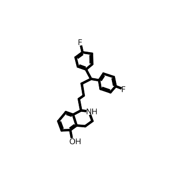 Oc1cccc2c1CCNC2CCCC(c1ccc(F)cc1)c1ccc(F)cc1